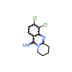 N=c1c2ccc(Cl)c(Cl)c2nc2n1CCCC2